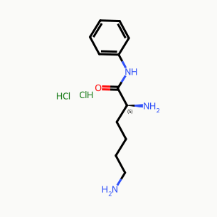 Cl.Cl.NCCCC[C@H](N)C(=O)Nc1ccccc1